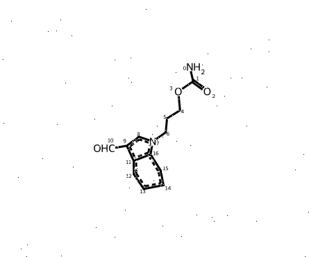 NC(=O)OCCCn1cc(C=O)c2ccccc21